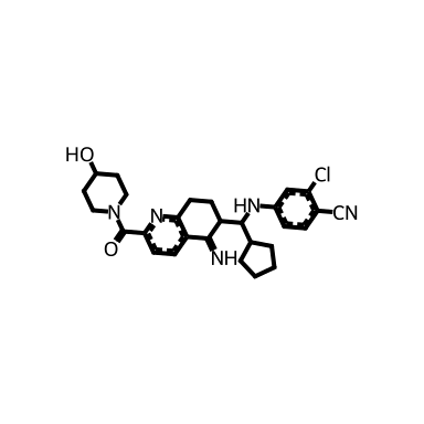 N#Cc1ccc(NC(C2CCCC2)C2CCc3nc(C(=O)N4CCC(O)CC4)ccc3C2=N)cc1Cl